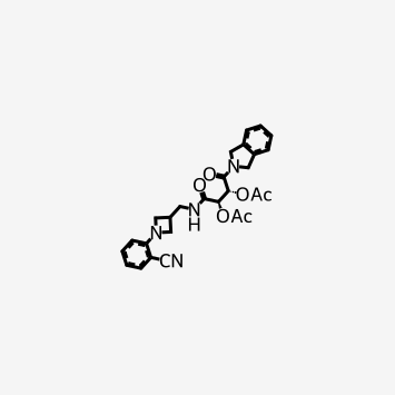 CC(=O)O[C@@H](C(=O)NCC1CN(c2ccccc2C#N)C1)[C@@H](OC(C)=O)C(=O)N1Cc2ccccc2C1